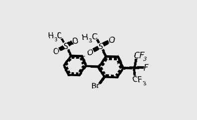 CS(=O)(=O)c1[c]c(-c2c(Br)cc(C(F)(C(F)(F)F)C(F)(F)F)cc2S(C)(=O)=O)ccc1